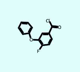 O=C(Cl)c1ccc(F)c(Oc2ccccc2)c1